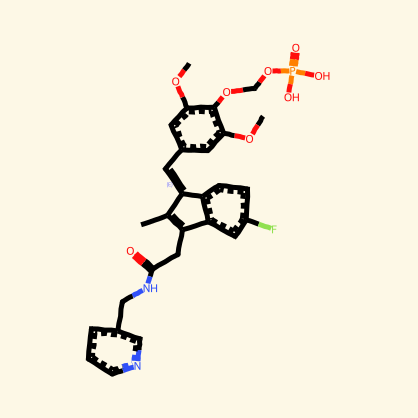 COc1cc(/C=C2/C(C)=C(CC(=O)NCc3cccnc3)c3cc(F)ccc32)cc(OC)c1OCOP(=O)(O)O